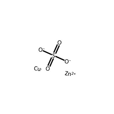 O=S(=O)([O-])[O-].[Cu].[Zn+2]